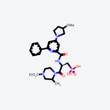 CCOC(=O)N1CCN(C(=O)[C@H](CP(=O)(O)O)NC(=O)c2cc(N3CCC(OC)C3)cc(-c3ccccc3)n2)C(C)C1